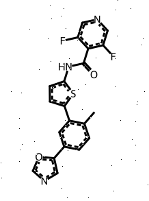 Cc1ccc(-c2cnco2)cc1-c1ccc(NC(=O)c2c(F)cncc2F)s1